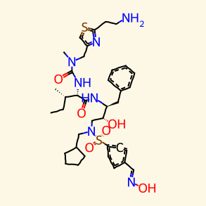 CC[C@H](C)[C@H](NC(=O)N(C)Cc1csc(CCN)n1)C(=O)N[C@@H](Cc1ccccc1)[C@H](O)CN(CC1CCCC1)S(=O)(=O)c1ccc(/C=N/O)cc1